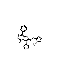 Cc1nnc(-c2ccccc2)c2nc(OCc3ncnn3C)c(C3CCCC3)n12